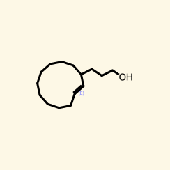 OCCCC1/C=C/CCCCCCCCC1